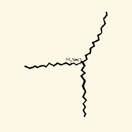 CCCCCCCCCCCCCCC(CCCCCCCCCCCCCC)(CCCCCCCCCCCCCC)O[SiH3]